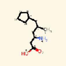 CC(CC(N)CC(=O)O)CC1CCCC1